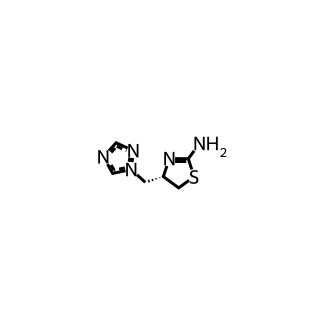 NC1=N[C@@H](Cn2cncn2)CS1